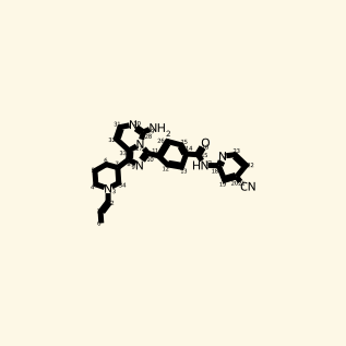 CC=CN1CCCC(c2nc(-c3ccc(C(=O)Nc4cc(C#N)ccn4)cc3)n3c(N)nccc23)C1